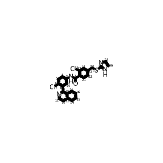 O=C(Nc1ccc(Cl)c(-c2nccc3ccccc23)c1)c1ccc(CSc2ncc[nH]2)cc1Cl